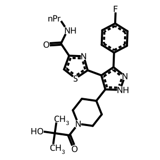 CCCNC(=O)c1csc(-c2c(-c3ccc(F)cc3)n[nH]c2C2CCN(C(=O)C(C)(C)O)CC2)n1